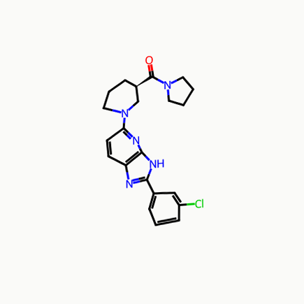 O=C([C@@H]1CCCN(c2ccc3nc(-c4cccc(Cl)c4)[nH]c3n2)C1)N1CCCC1